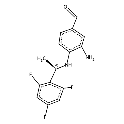 C[C@@H](Nc1ccc(C=O)cc1N)c1c(F)cc(F)cc1F